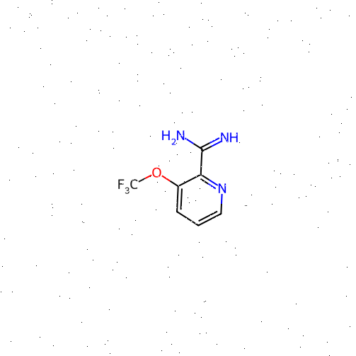 N=C(N)c1ncccc1OC(F)(F)F